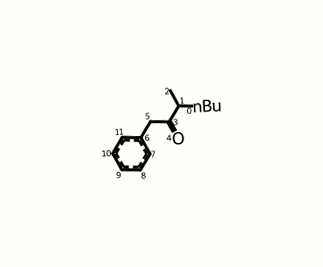 CCCCC(C)C(=O)Cc1ccccc1